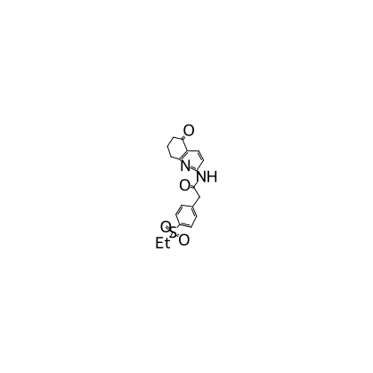 CCS(=O)(=O)c1ccc(CC(=O)Nc2ccc3c(n2)CCCC3=O)cc1